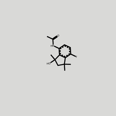 CC(=O)Nc1ccc(F)c2c1C(C)(O)CC2(C)C